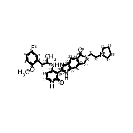 COc1ccc(F)cc1CC(C)Nc1cc[nH]c(=O)c1-c1nc2cc3c(cc2[nH]1)CN(CCN1CCCC1)C3=O